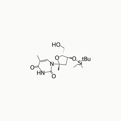 Cc1cn([C@@]2(C)C[C@H](O[Si](C)(C)C(C)(C)C)[C@@H](CO)O2)c(=O)[nH]c1=O